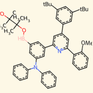 COc1ccccc1-c1cc(-c2cc(C(C)(C)C)cc(C(C)(C)C)c2)cc(-c2cc(BOC(C)(C)C(C)(C)O)cc(N(c3ccccc3)c3ccccc3)c2)n1